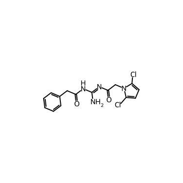 N/C(=N\C(=O)Cn1c(Cl)ccc1Cl)NC(=O)Cc1ccccc1